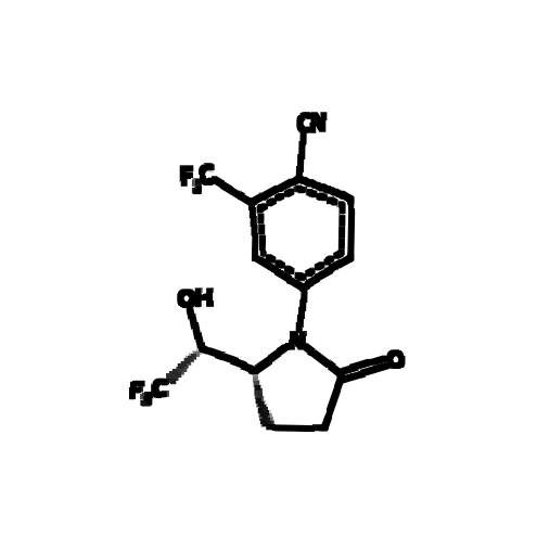 N#Cc1ccc(N2C(=O)CC[C@@H]2[C@@H](O)C(F)(F)F)cc1C(F)(F)F